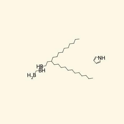 BCBBCCC(CCCCCCCCCC)CCCCCCCCCCCC.c1cc[nH]c1